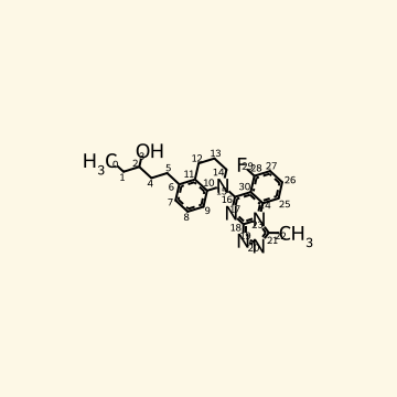 CCC(O)CCc1cccc2c1CCCN2c1nc2nnc(C)n2c2cccc(F)c12